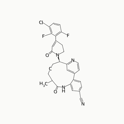 CC1CCC[C@@H](N2CCC(c3c(F)ccc(Cl)c3F)=CC2=O)c2cc(ccn2)-c2ccc(C#N)cc2NC1=O